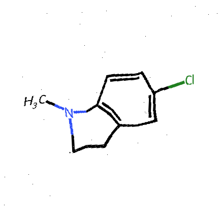 CN1[CH]Cc2cc(Cl)ccc21